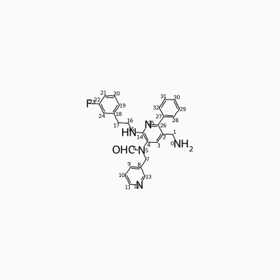 NCc1cc(N(C=O)Cc2cccnc2)c(NCCc2cccc(F)c2)nc1-c1ccccc1